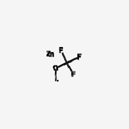 [CH2]OC(F)(F)F.[Zn]